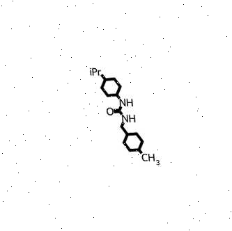 CC1CCC(CNC(=O)NC2CCC(C(C)C)CC2)CC1